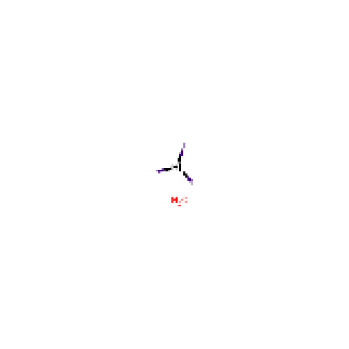 O.[I][Hf]([I])[I]